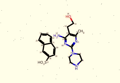 Cc1nc(N2CCNCC2)nc(N)c1CCO.O=S(=O)(O)c1ccc2ccccc2c1